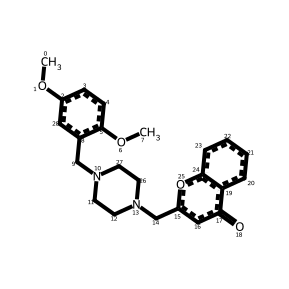 COc1ccc(OC)c(CN2CCN(Cc3cc(=O)c4ccccc4o3)CC2)c1